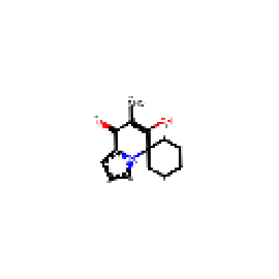 O=CC1=C(O)C2(CCCCC2)n2cccc2C1=O